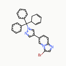 Brc1cnc2ccc(-c3cnn(C(c4ccccc4)(c4ccccc4)C4C=CC=CC4)c3)cn12